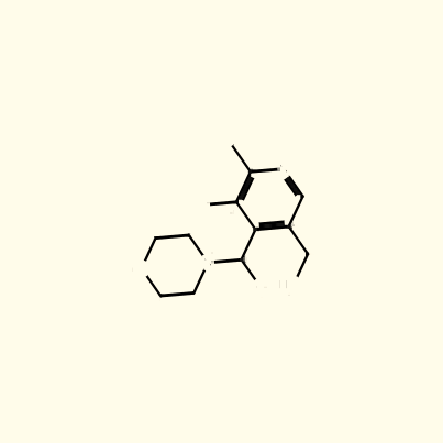 Cc1ncc(CO)c(C(O)N2CCOCC2)c1O